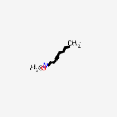 [CH2]CCCCC#CCCC=NOC